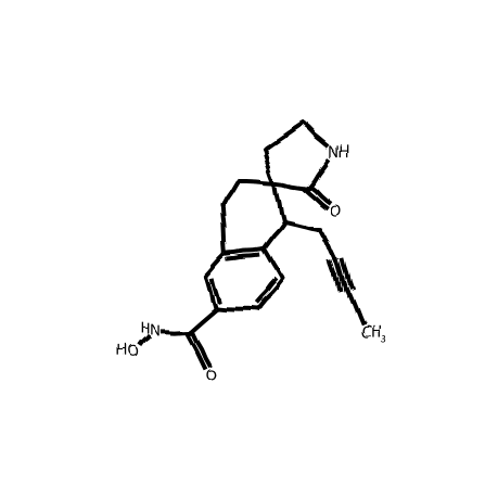 CC#CCC1c2ccc(C(=O)NO)cc2CCC12CCNC2=O